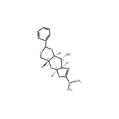 CN(C)C1=N[C@@H]2[C@@H](O)[C@@H]3OC(c4ccccc4)OC[C@H]3O[C@@H]2S1